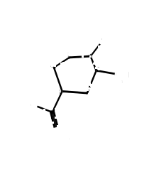 C=C(C)C1CCC(C)C(O)C1